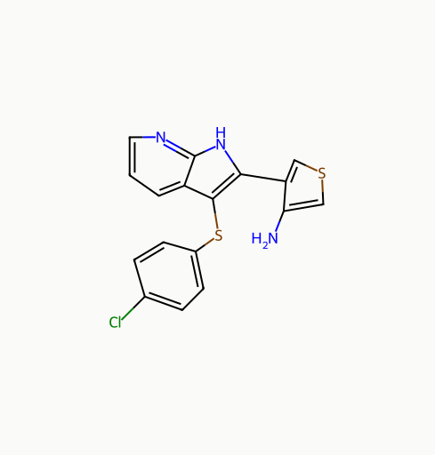 Nc1cscc1-c1[nH]c2ncccc2c1Sc1ccc(Cl)cc1